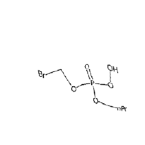 CCCOP(=O)(OO)OCBr